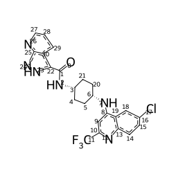 O=C(N[C@H]1CC[C@@H](Nc2cc(C(F)(F)F)nc3ccc(Cl)cc23)CC1)c1[nH]nc2ncccc12